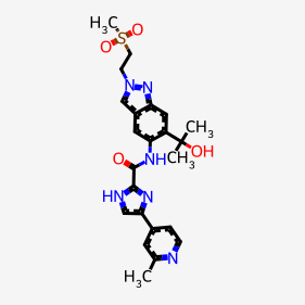 Cc1cc(-c2c[nH]c(C(=O)Nc3cc4cn(CCS(C)(=O)=O)nc4cc3C(C)(C)O)n2)ccn1